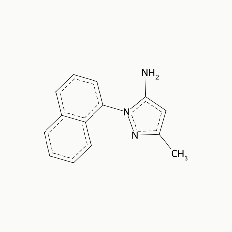 Cc1cc(N)n(-c2cccc3ccccc23)n1